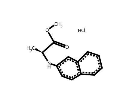 COC(=O)[C@H](C)Nc1ccc2ccccc2c1.Cl